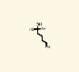 OC(O)(S)CCCCS